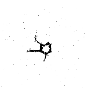 CCOc1cccc(F)c1CBr